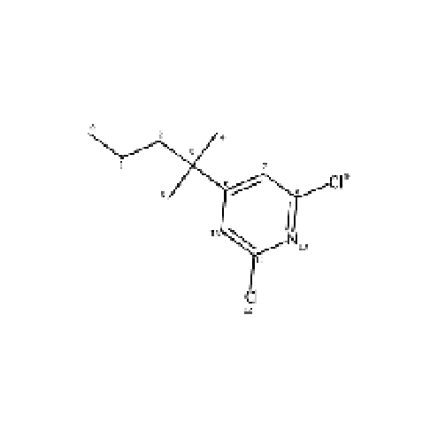 CCCC(C)(C)c1cc(Cl)nc(Cl)c1